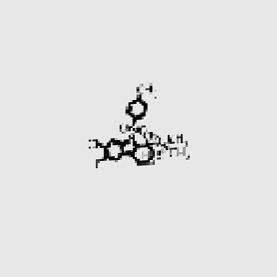 Cc1ccc(S(=O)(=O)n2c3c(c4cc(F)c(Cl)cc42)CCCC3(O[Si](C)(C)C)C(F)(F)F)cc1